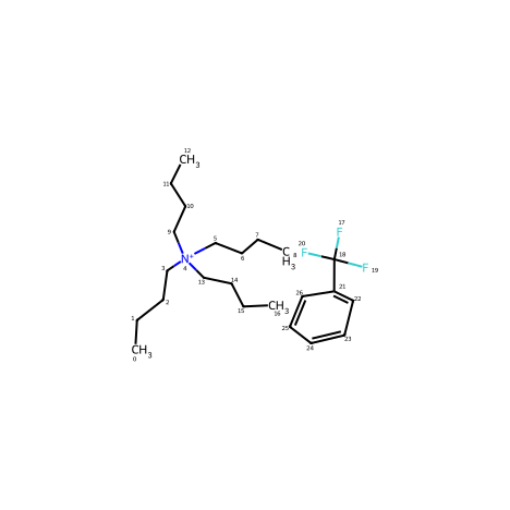 CCCC[N+](CCCC)(CCCC)CCCC.FC(F)(F)c1ccccc1